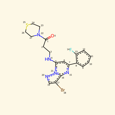 O=C(CCNc1cc(-c2ccccc2F)nc2c(Br)cnn12)N1CCSCC1